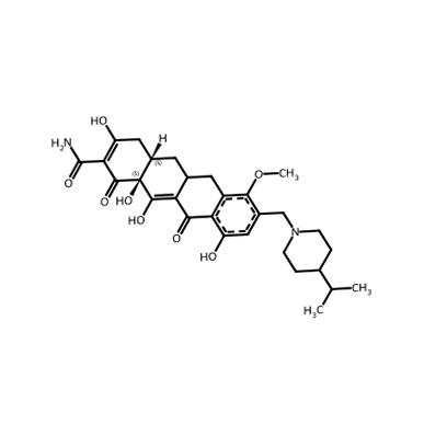 COc1c(CN2CCC(C(C)C)CC2)cc(O)c2c1CC1C[C@H]3CC(O)=C(C(N)=O)C(=O)[C@@]3(O)C(O)=C1C2=O